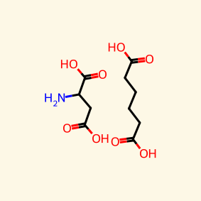 NC(CC(=O)O)C(=O)O.O=C(O)CCCCC(=O)O